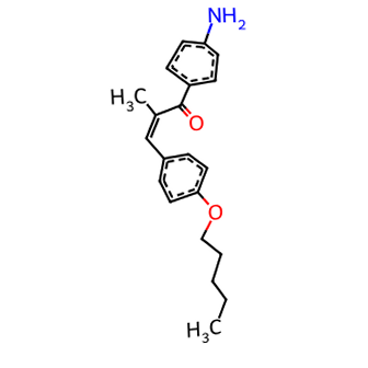 CCCCCOc1ccc(C=C(C)C(=O)c2ccc(N)cc2)cc1